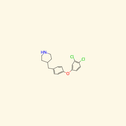 Clc1ccc(Oc2ccc(CC3CCNCC3)cc2)cc1Cl